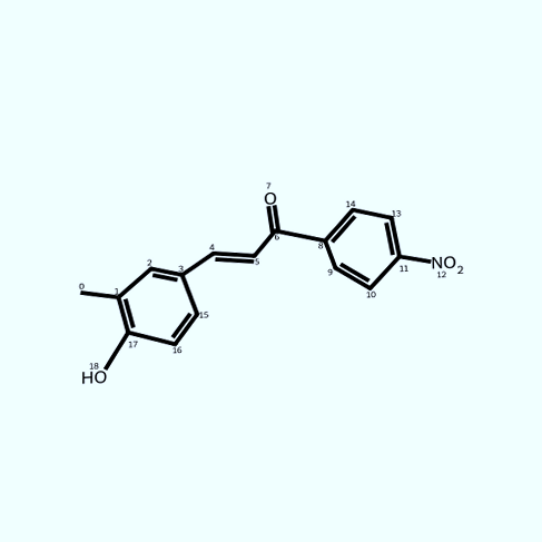 Cc1cc(C=CC(=O)c2ccc([N+](=O)[O-])cc2)ccc1O